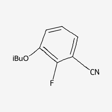 CC(C)COc1cccc(C#N)c1F